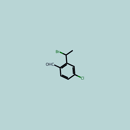 CC(Br)c1cc(Cl)ccc1C=O